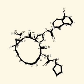 O=C(NC1CCCC1)N[C@H]1CCCCCC=C[C@@H]2C[C@@]2(C(=O)O)NC(=O)[C@@H]2C[C@@H](OC(=O)N3CCc4c(F)cccc4C3)CN2C1=O